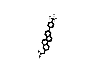 FC(F)CC1=CC2CC=c3c(ccc4cc(-c5ccc(C(F)(F)F)cc5)ccc34)=C2CC1